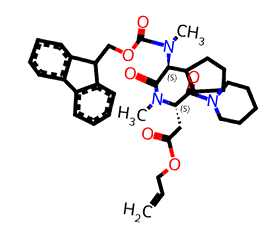 C=CCOC(=O)C[C@@H](C(=O)N1CCCCC1)N(C)C(=O)[C@H](C1CCCC1)N(C)C(=O)OCC1c2ccccc2-c2ccccc21